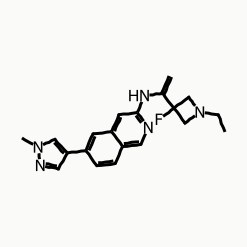 C=C(Nc1cc2cc(-c3cnn(C)c3)ccc2cn1)C1(F)CN(CC)C1